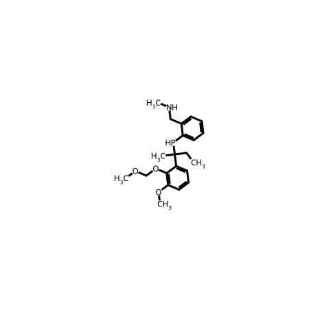 CCC(C)(Pc1ccccc1CNC)c1cccc(OC)c1OCOC